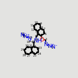 [N-]=[N+]=NCOc1ccc2ccccc2c1CN[C@@H](CN=[N+]=[N-])c1cccc2ccccc12